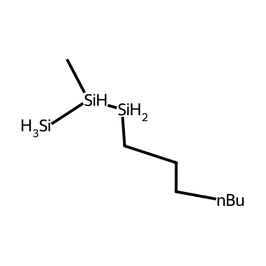 CCCCCCC[SiH2][SiH](C)[SiH3]